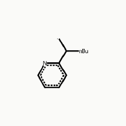 [CH2]CCCC([CH2])c1ccccn1